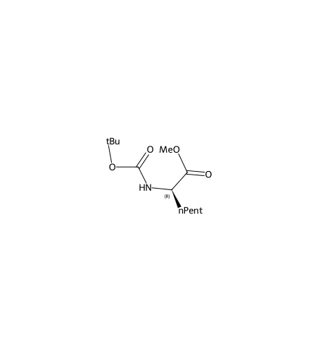 CCCCC[C@@H](NC(=O)OC(C)(C)C)C(=O)OC